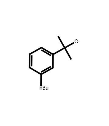 CCCCc1cccc(C(C)(C)[O])c1